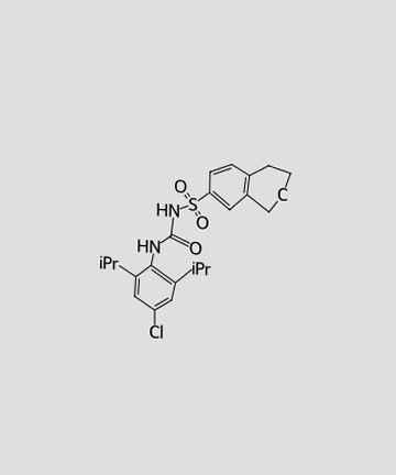 CC(C)c1cc(Cl)cc(C(C)C)c1NC(=O)NS(=O)(=O)c1ccc2c(c1)CCCC2